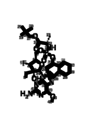 CC[C@@]1(O)[C@H](F)[C@@H](COP(=O)(N[C@@H](C)C(=O)OCC(C)(C)C)Oc2cccc3ccccc23)O[C@H]1n1cnc2c(OC)nc(N)nc21